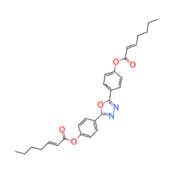 CCCCC=CC(=O)Oc1ccc(-c2nnc(-c3ccc(OC(=O)C=CCCCC)cc3)o2)cc1